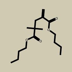 C=C(CC(C)(C)C(=O)OCCCC)C(=O)OCCCC